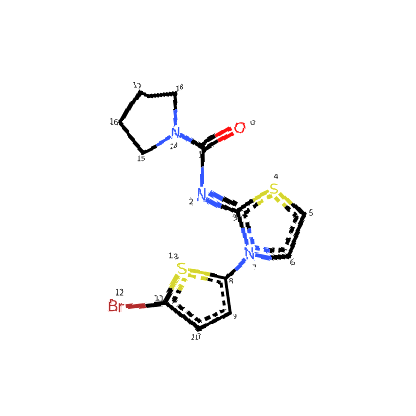 O=C(/N=c1\sccn1-c1ccc(Br)s1)N1CCCC1